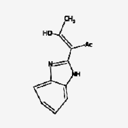 CC(=O)/C(=C(\C)O)c1nc2ccccc2[nH]1